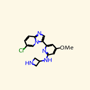 COc1cc(NC2CNC2)nc(-c2cnc3ccc(Cl)cn23)c1